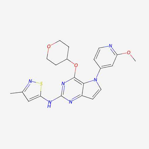 COc1cc(-n2ccc3nc(Nc4cc(C)ns4)nc(OC4CCOCC4)c32)ccn1